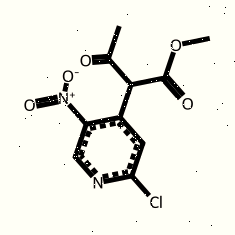 COC(=O)C(C(C)=O)c1cc(Cl)ncc1[N+](=O)[O-]